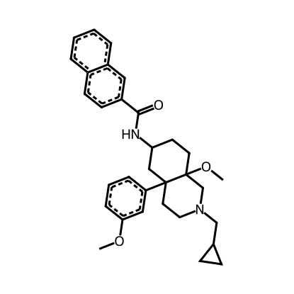 COc1cccc(C23CCN(CC4CC4)CC2(OC)CCC(NC(=O)c2ccc4ccccc4c2)C3)c1